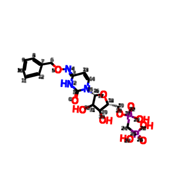 O=c1[nH]/c(=N\OCc2ccccc2)ccn1[C@@H]1O[C@H](COP(=O)(O)CP(=O)(O)O)C(O)C1O